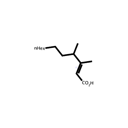 CCCCCCCCC(C)/C(C)=C/C(=O)O